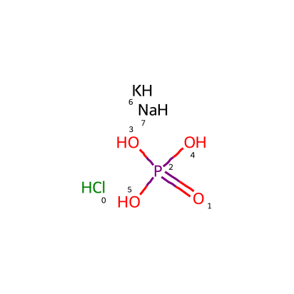 Cl.O=P(O)(O)O.[KH].[NaH]